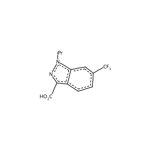 CC(C)n1nc(C(=O)O)c2ccc(C(F)(F)F)cc21